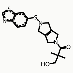 CC(C)(CO)C(=O)N1CC2=C(CN(Sc3ccc4ncsc4c3)C2)C1